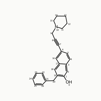 Oc1cc2ccc(C#CCN3CCCCC3)cc2cc1Cc1ccccc1